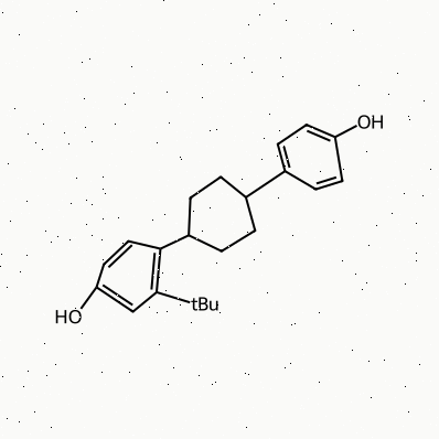 CC(C)(C)c1cc(O)ccc1C1CCC(c2ccc(O)cc2)CC1